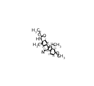 CCOC(=O)Nc1ccc(-c2c(C#N)c3ccc(OC)cc3n2CC)cc1C